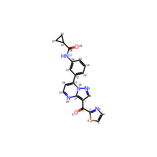 O=C(c1nccs1)c1cnn2c(-c3cccc(NC(=O)C4CC4)c3)ccnc12